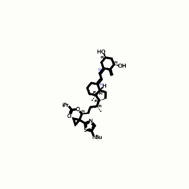 C=C1/C(=C\C=C2/CCC[C@]3(C)[C@@H]([C@H](C)CC[C@H](OC(=O)C(C)C)C4(c5ncc(CCCC)s5)CC4)CC[C@@H]23)C[C@@H](O)C[C@@H]1O